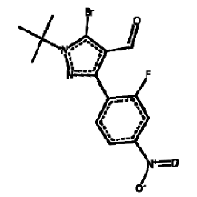 CC(C)(C)n1nc(-c2ccc([N+](=O)[O-])cc2F)c(C=O)c1Br